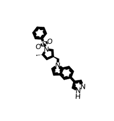 C[C@H]1C[C@H](Cn2ccc3cc(-c4cn[nH]c4)ccc32)CN1S(=O)(=O)c1ccccc1